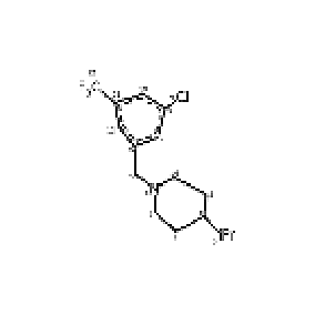 CC(C)C1CCN(Cc2cc(Cl)cc(C(F)(F)F)c2)CC1